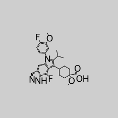 COc1cc(-n2c(C(C)C)c(C3CCC(OC)(C(=O)O)CC3)c3c(F)c4[nH]ncc4cc32)ccc1F